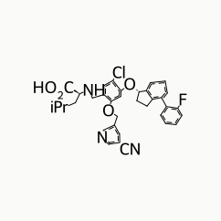 CC(C)C[C@H](NCc1cc(Cl)c(O[C@H]2CCc3c(-c4ccccc4F)cccc32)cc1OCc1cncc(C#N)c1)C(=O)O